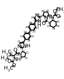 COC(=O)N[C@H](C(=O)N1CCC[C@H]1c1ncc(-c2ccc(-c3ccc(-c4cnc([C@@H]5CCCN5C(=O)[C@H]5CCCC[C@H]5NC(=O)OC)[nH]4)cc3)cc2)[nH]1)C(C)C